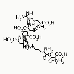 CC(C)C[C@H](N)C(=O)O.C[C@@H](OC(=O)[C@@H](N)CCCCN)[C@H](N)C(=O)O.N=C(N)NCCC[C@H](N)C(=O)O.N[C@@H](Cc1c[nH]cn1)C(=O)O.O=C(O)[C@@H]1CCCN1